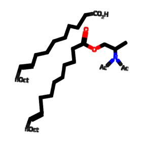 CCCCCCCCC=CCCCCCCCC(=O)O.CCCCCCCCC=CCCCCCCCC(=O)OCC(C)N(C(C)=O)C(C)=O